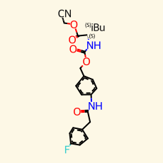 CC[C@H](C)[C@H](NC(=O)OCc1ccc(NC(=O)Cc2ccc(F)cc2)cc1)C(=O)OCC#N